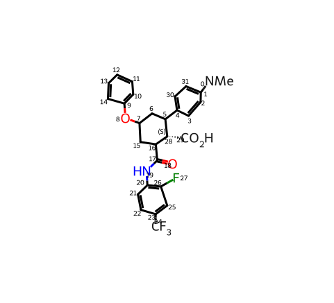 CNc1ccc(C2CC(Oc3ccccc3)CC(C(=O)Nc3ccc(C(F)(F)F)cc3F)[C@H]2C(=O)O)cc1